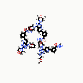 CNC(=O)c1cccc(-c2ccc3c(N4CC5CC(NC(=O)c6cccc(-c7ccc8c(N9CC%10CC(NC(=O)c%11cccc(-c%12ccc%13c(N%14CC%15CCC(C%14)O%15)nc(N%14CCOC[C@@H]%14C)nc%13n%12)c%11)C(C9)O%10)nc(N9C[C@@H](C)O[C@@H](C)C9)nc8n7)c6)C(C4)O5)nc(N(C)CCOC)nc3n2)c1